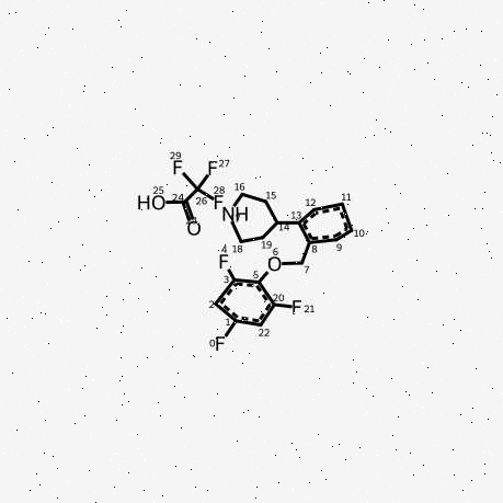 Fc1cc(F)c(OCc2ccccc2C2CCNCC2)c(F)c1.O=C(O)C(F)(F)F